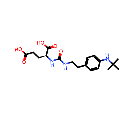 CC(C)(C)Nc1ccc(CCNC(=O)N[C@@H](CCC(=O)O)C(=O)O)cc1